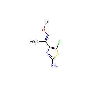 CCO/N=C(\C(=O)O)c1nc(N)sc1Cl